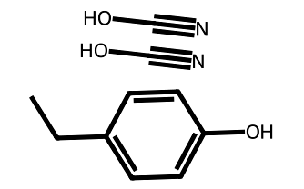 CCc1ccc(O)cc1.N#CO.N#CO